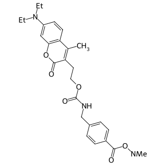 CCN(CC)c1ccc2c(C)c(CCOC(=O)NCc3ccc(C(=O)ONC)cc3)c(=O)oc2c1